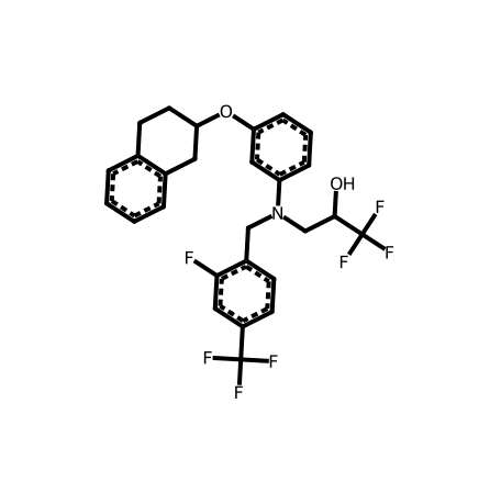 OC(CN(Cc1ccc(C(F)(F)F)cc1F)c1cccc(OC2CCc3ccccc3C2)c1)C(F)(F)F